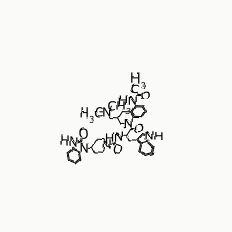 CC(=O)Nc1cccc2c1CC(CN(C)C)CN2C(=O)[C@@H](Cc1c[nH]c2ccccc12)NC(=O)N1CCC(n2c(=O)[nH]c3ccccc32)CC1